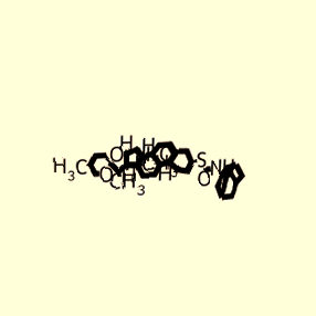 C[C@@H]1CC[C@@]2(OC1)O[C@H]1C[C@H]3[C@@H]4CC=C5C[C@@H](SC(=O)NC67CC8CC(CC(C8)C6)C7)CC[C@]5(C)[C@H]4CC[C@]3(C)[C@H]1[C@@H]2C